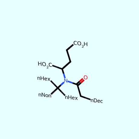 CCCCCCCCCCCC(=O)N(C(CCC(=O)O)C(=O)O)C(CCCCCC)(CCCCCC)CCCCCCCCC